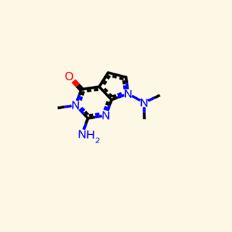 CN(C)n1ccc2c(=O)n(C)c(N)nc21